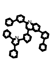 c1ccc(-c2cccc(-c3ccc4nc(-c5cccc(-c6ccccc6)c5)cc(-c5cccc(-c6cc(-c7ccccc7)cc(-c7ccccc7)n6)c5)c4c3)c2)cc1